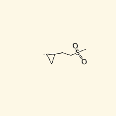 CS(=O)(=O)CCC1[CH]C1